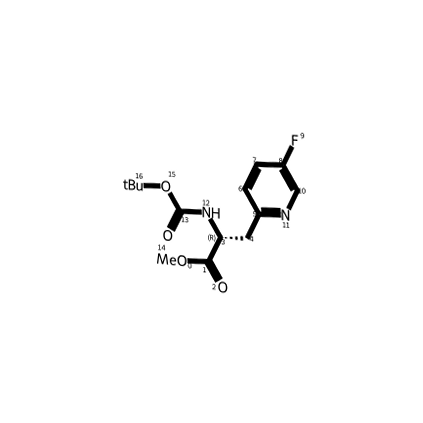 COC(=O)[C@@H](Cc1ccc(F)cn1)NC(=O)OC(C)(C)C